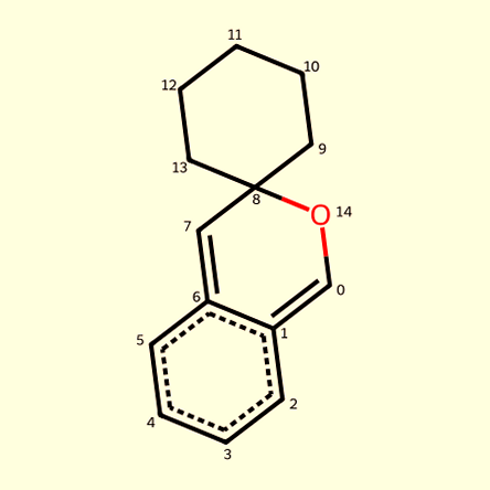 C1=c2ccccc2=CC2(CCCCC2)O1